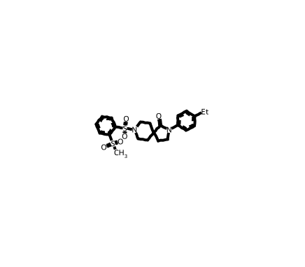 CCc1ccc(N2CCC3(CCN(S(=O)(=O)c4ccccc4S(C)(=O)=O)CC3)C2=O)cc1